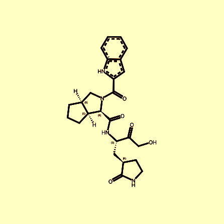 O=C1NCC[C@@H]1C[C@H](NC(=O)[C@H]1[C@H]2CCC[C@H]2CN1C(=O)c1cc2ccccc2[nH]1)C(=O)CO